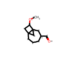 COC1CC23CCCC(C=O)CC12C3